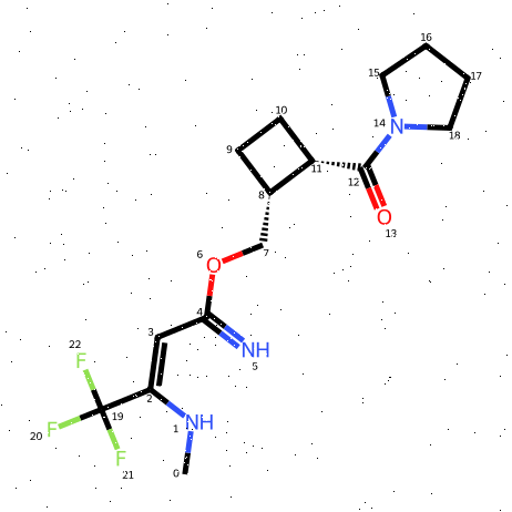 CN/C(=C\C(=N)OC[C@@H]1CC[C@@H]1C(=O)N1CCCC1)C(F)(F)F